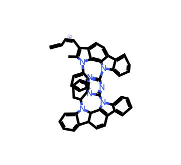 C=C/C=C\c1c(C)n(-c2ccccc2)c2c1ccc1c3ccccc3n(-c3ncnc(-n4c5c(c6ccccc64)C=CC4c6ccccc6N(C6CC=CCC6)C54)n3)c12